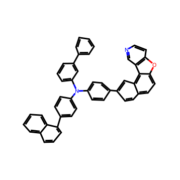 c1ccc(-c2cccc(N(c3ccc(-c4ccc5ccc6oc7ccncc7c6c5c4)cc3)c3ccc(-c4cccc5ccccc45)cc3)c2)cc1